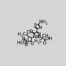 CC(C)C1C(NC(=O)C(=NOC(C)(C)C(=O)O)c2csc(N)n2)C(=O)N1S(=O)(=O)O